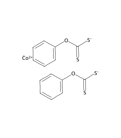 S=C([S-])Oc1ccccc1.S=C([S-])Oc1ccccc1.[Co+2]